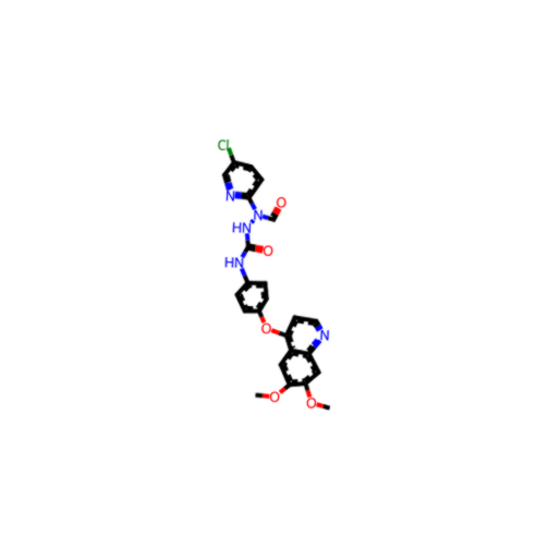 COc1cc2nccc(Oc3ccc(NC(=O)NN(C=O)c4ccc(Cl)cn4)cc3)c2cc1OC